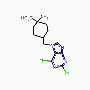 CC1(C(=O)O)CCC(Cn2cnc3nc(Cl)nc(Cl)c32)CC1